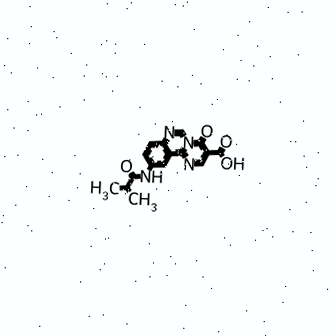 CC(C)C(=O)Nc1ccc2ncn3c(=O)c(C(=O)O)cnc3c2c1